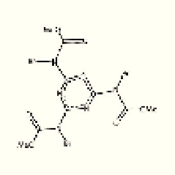 COC(=O)N(Br)c1nc(N(Br)C(=O)OC)nc(N(Br)C(=O)OC)n1